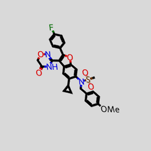 COc1ccc(CN(c2cc3oc(-c4ccc(F)cc4)c(C4=NOCC(=O)N4)c3cc2C2CC2)S(C)(=O)=O)cc1